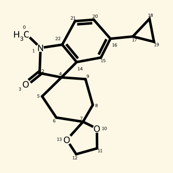 CN1C(=O)C2(CCC3(CC2)OCCO3)c2cc(C3CC3)ccc21